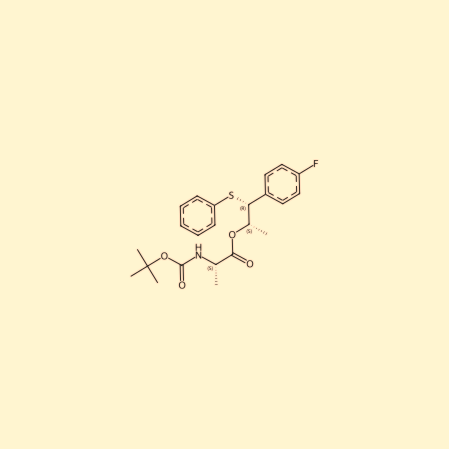 C[C@H](NC(=O)OC(C)(C)C)C(=O)O[C@@H](C)[C@H](Sc1ccccc1)c1ccc(F)cc1